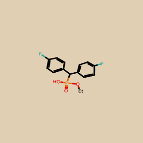 CCOP(=O)(O)C(c1ccc(F)cc1)c1ccc(F)cc1